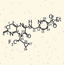 C=C(Cl)/N=C1\C(=C/C)N=C(NCc2ccc(S(=O)(=O)CC)cn2)C(=O)N1C(C1CC1)C(F)(F)F